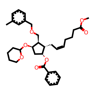 COC(=O)CCC/C=C\C[C@H]1[C@H](COCc2cccc(C)c2)[C@H](OC2CCCCO2)C[C@H]1OC(=O)c1ccccc1